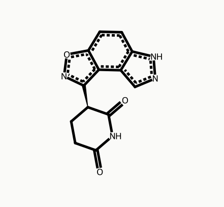 O=C1CC[C@@H](c2noc3ccc4[nH]ncc4c23)C(=O)N1